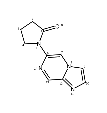 O=C1CCCN1c1cn2ccnc2cn1